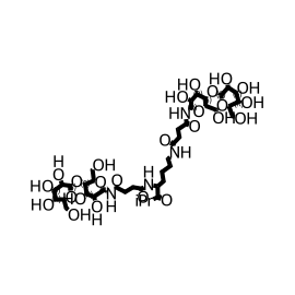 CC(C)C(=O)C(CCCCNC(=O)CCC(=O)N[C@@H]1OC(CO)[C@@H](O[C@@H]2OC(CO)[C@H](O)[C@H](O)C2O)[C@H](O)C1O)NC(=O)CCC(=O)N[C@@H]1OC(CO)[C@@H](O[C@@H]2OC(CO)[C@H](O)[C@H](O)C2O)[C@H](O)C1O